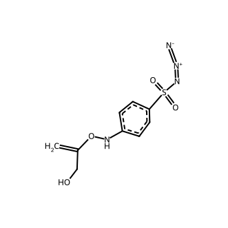 C=C(CO)ONc1ccc(S(=O)(=O)N=[N+]=[N-])cc1